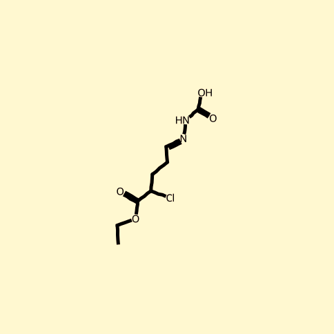 CCOC(=O)C(Cl)CCC=NNC(=O)O